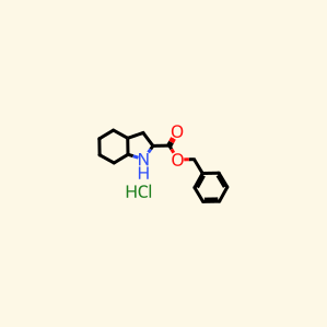 Cl.O=C(OCc1ccccc1)C1CC2CCCCC2N1